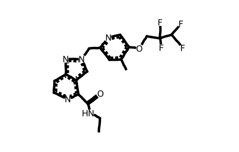 CCNC(=O)c1nccc2nn(Cc3cc(C)c(OCC(F)(F)C(F)F)cn3)cc12